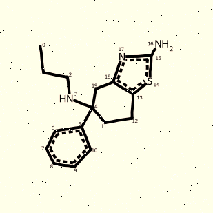 CCCNC1(c2ccccc2)CCc2sc(N)nc2C1